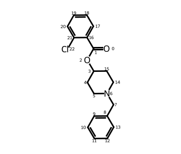 O=C(OC1CCN(Cc2ccccc2)CC1)c1ccccc1Cl